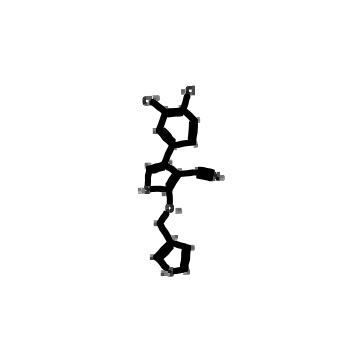 N#Cc1c(-c2ccc(Cl)c(Cl)c2)csc1OCc1ccsc1